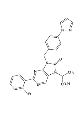 CC(C)c1ccccc1-c1ncc2c(n1)n(Cc1ccc(-n3cccn3)cc1)c(=O)n2C(C)C(=O)O